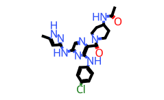 CC(=O)NC1CCN(C(=O)c2ncc(Nc3cc(C)[nH]n3)nc2Nc2ccc(Cl)cc2)CC1